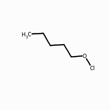 CCCCCOCl